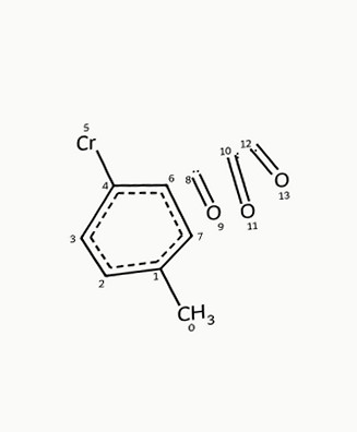 Cc1cc[c]([Cr])cc1.[C]=O.[C]=O.[C]=O